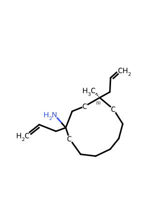 C=CCC1(N)CCCCCCC[C@](C)(CC=C)CC1